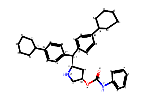 O=C(Nc1ccccc1)O[C@H]1CN[C@@H](C(c2ccc(C3CCCCC3)cc2)c2ccc(C3CCCCC3)cc2)C1